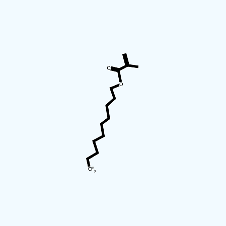 C=C(C)C(=O)OCCCCCCCCCC(F)(F)F